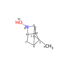 CC1C=C2C3CC1CC3N2O